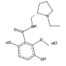 CCN1CCC[C@H]1CNC(=O)c1c(O)ccc(O)c1OC.Cl